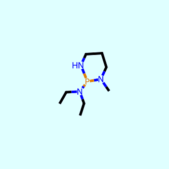 CCN(CC)P1NCCCN1C